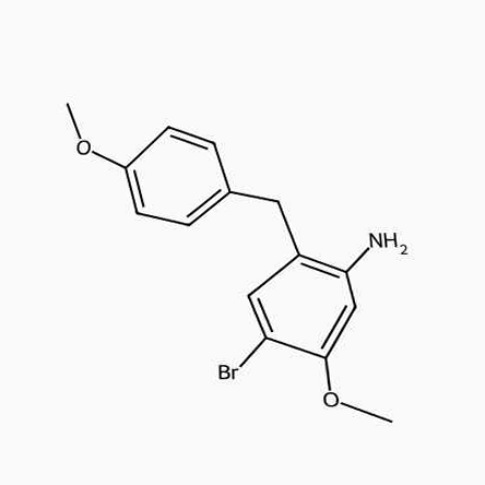 COc1ccc(Cc2cc(Br)c(OC)cc2N)cc1